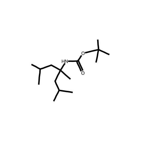 CC(C)CC(C)(CC(C)C)NC(=O)OC(C)(C)C